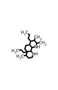 CCCC1C(C)C(C)NC2C1CCC1(CCC)C(C)CCNC21